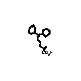 C=C(CCCN(c1ccccc1)c1ccccc1)C(=O)O